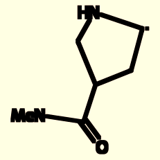 CNC(=O)C1C[CH]NC1